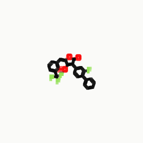 O=C1OC(=Cc2cccc(C(F)(F)F)c2)C(O)=C1c1ccc(-c2ccccc2)c(F)c1